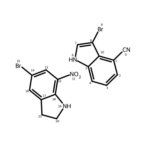 N#Cc1cccc2[nH]cc(Br)c12.O=[N+]([O-])c1cc(Br)cc2c1NCC2